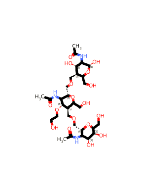 CC(=O)NC1[C@H](COC[C@@H]2C(CO)O[C@@H](COC[C@@H]3C(CO)O[C@@H](O)C(NC(C)=O)[C@H]3O)C(NC(C)=O)[C@H]2OCCO)OC(CO)[C@@H](O)[C@@H]1O